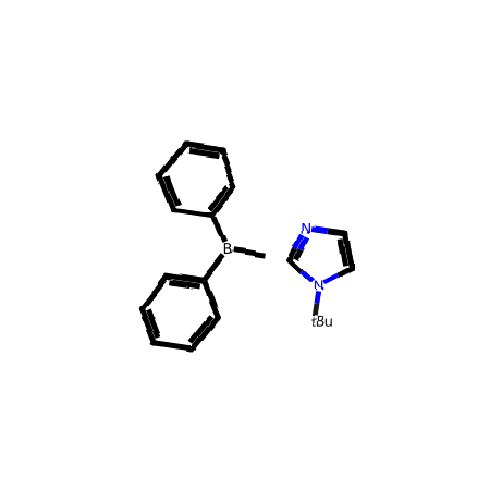 CB(c1ccccc1)c1ccccc1.CC(C)(C)n1ccnc1